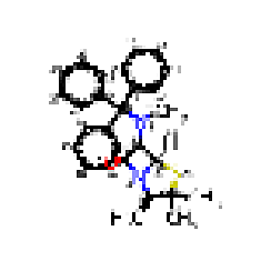 C=C1N2C(=O)[C@@H](N(C)C(c3ccccc3)(c3ccccc3)c3ccccc3)[C@H]2SC1(C)C